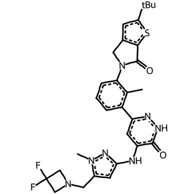 Cc1c(-c2cc(Nc3cc(CN4CC(F)(F)C4)n(C)n3)c(=O)[nH]n2)cccc1N1Cc2cc(C(C)(C)C)sc2C1=O